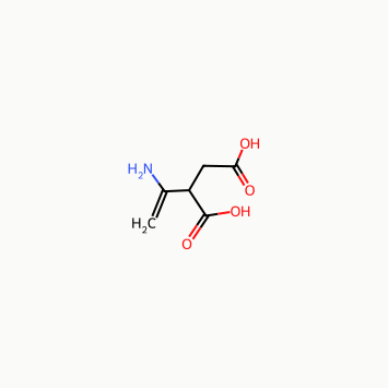 C=C(N)C(CC(=O)O)C(=O)O